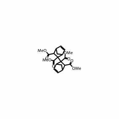 COC(=O)C1C2C=CC(C2)C1(C(=O)OC)C1(C(=O)OC)C2C=CC(C2)C1C(=O)OC